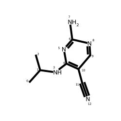 CC(C)Nc1nc(N)ncc1C#N